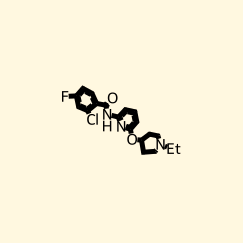 CCN1CCC(Oc2cccc(NC(=O)c3ccc(F)cc3Cl)n2)CC1